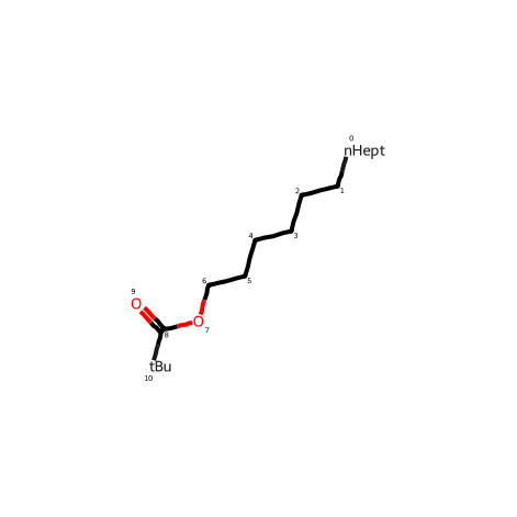 CCCCCCCCCCCCCOC(=O)C(C)(C)C